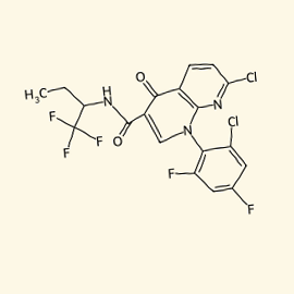 CCC(NC(=O)c1cn(-c2c(F)cc(F)cc2Cl)c2nc(Cl)ccc2c1=O)C(F)(F)F